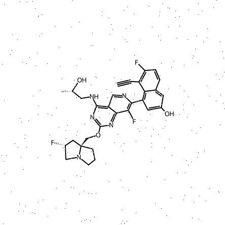 C#Cc1c(F)ccc2cc(O)cc(-c3ncc4c(NC[C@H](C)O)nc(OC[C@@]56CCCN5C[C@H](F)C6)nc4c3F)c12